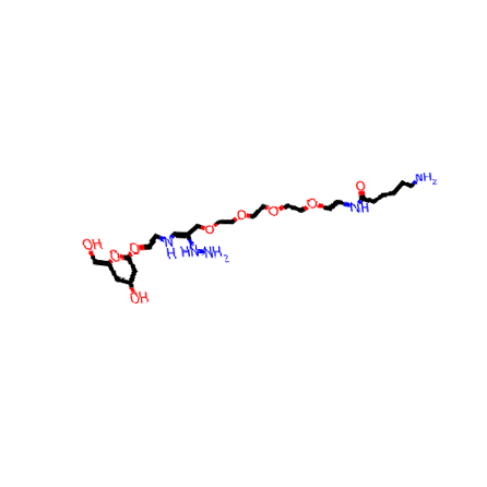 NCCCCCC(=O)NCCOCCOCCOCCOC/C(=C/NCCOC1CC(O)CC(CO)O1)NN